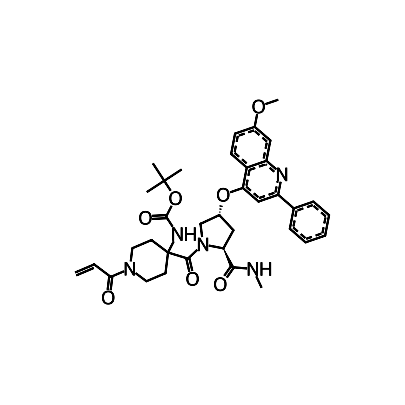 C=CC(=O)N1CCC(NC(=O)OC(C)(C)C)(C(=O)N2C[C@H](Oc3cc(-c4ccccc4)nc4cc(OC)ccc34)C[C@H]2C(=O)NC)CC1